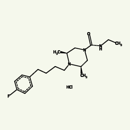 CCNC(=O)N1C[C@@H](C)N(CCCCc2ccc(F)cc2)[C@@H](C)C1.Cl